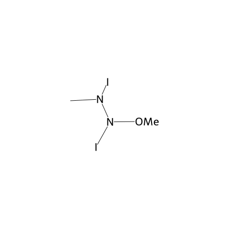 CON(I)N(C)I